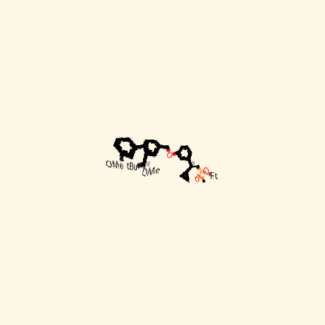 CCOP(C)(=O)C[C@H](c1cccc(OCc2ccc(-c3cccc(OC)c3)c([C@@H](OC)C(C)(C)C)c2)c1)C1CC1